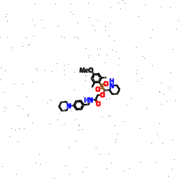 COc1cc(C)c(S(=O)(=O)C(OCC(=O)NCc2ccc(N3CCCCC3)cc2)C2CCCCN2)c(C)c1